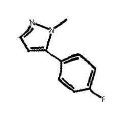 Cn1n[c]cc1-c1ccc(F)cc1